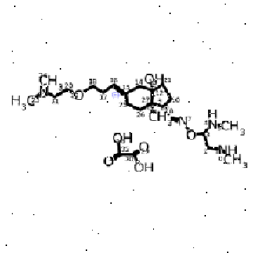 CNCC(NC)ON=C[C@H]1CC[C@]2(O)C/C(=C/CCOCCN(C)C)CC[C@]12C.O=C(O)C(=O)O